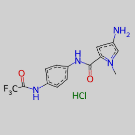 Cl.Cn1cc(N)cc1C(=O)Nc1ccc(NC(=O)C(F)(F)F)cc1